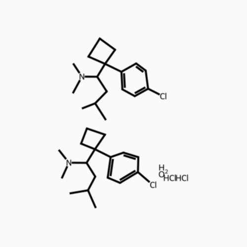 CC(C)CC(N(C)C)C1(c2ccc(Cl)cc2)CCC1.CC(C)CC(N(C)C)C1(c2ccc(Cl)cc2)CCC1.Cl.Cl.O